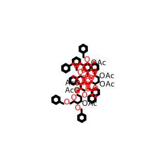 CC(=O)OC1C(OC(C)=O)[C@@H](OCc2ccccc2)C(COCc2ccccc2)O[C@@H]1OC1C(OC(C)=O)[C@@H](OCc2ccccc2)C(COCc2ccccc2)O[C@@H]1O[C@@H]1C(OCc2ccccc2)[C@@H](C)OC(CO[C@H]2OC(COCc3ccccc3)[C@@H](OCc3ccccc3)[C@H](OC(C)=O)C2O[C@H]2OC(COCc3ccccc3)[C@@H](OCc3ccccc3)[C@H](OC(C)=O)C2OC(C)=O)[C@H]1OCc1ccccc1